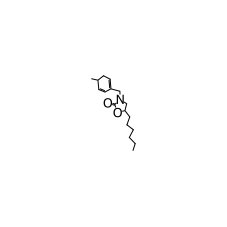 CCCCCCC1CN(CC2=CCC(C)C=C2)C(=O)O1